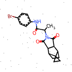 CC(C(=O)Nc1ccc(Br)cc1)N1C(=O)C2C(C1=O)C1CCC2C12CC2